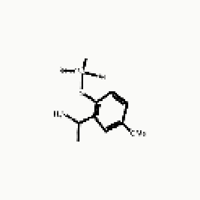 [1H][13C]([1H])(C)Sc1ccc(OC)cc1C(C)N